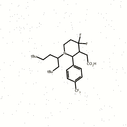 CC(C)(C)CCC(CC(C)(C)C)N1CCC(F)(F)C(CC(=O)O)C1c1ccc(C(F)(F)F)cc1